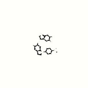 O=[N+]([O-])c1ccc(-n2ccc3cc(O)c(O)cc32)cc1.Oc1cc2cc[nH]c2cc1O